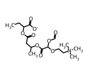 CCC(OC(=O)CC(C)OC(=O)C(OC=O)OCC[N+](C)(C)C)C(=O)[O-]